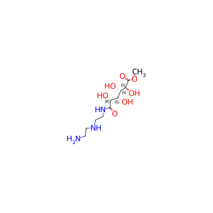 COC(=O)[C@@H](O)[C@@H](O)[C@H](O)[C@@H](O)C(=O)NCCNCCN